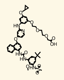 COc1c(NC(=O)Nc2ccc(Oc3ccnc(Nc4cc(OCCOCCOCC(=O)O)cc(OC5CC5)c4)c3)c3ccccc23)cc(C(C)(C)C)cc1NS(C)(=O)=O